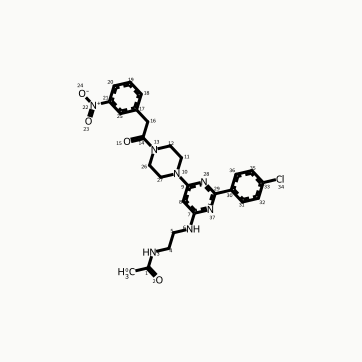 CC(=O)NCCNc1cc(N2CCN(C(=O)Cc3cccc([N+](=O)[O-])c3)CC2)nc(-c2ccc(Cl)cc2)n1